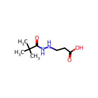 CC(C)(C)C(=O)NNCCC(=O)O